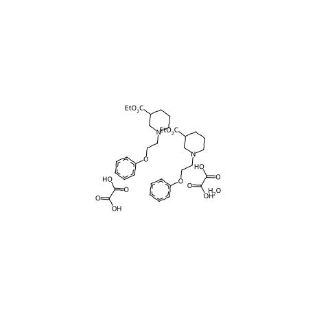 CCOC(=O)C1CCCN(CCOc2ccccc2)C1.CCOC(=O)C1CCCN(CCOc2ccccc2)C1.O.O=C(O)C(=O)O.O=C(O)C(=O)O